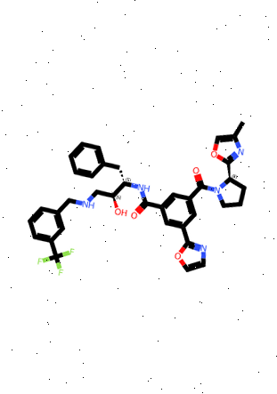 Cc1coc([C@H]2CCCN2C(=O)c2cc(C(=O)N[C@@H](Cc3ccccc3)[C@@H](O)CNCc3cccc(C(F)(F)F)c3)cc(-c3ncco3)c2)n1